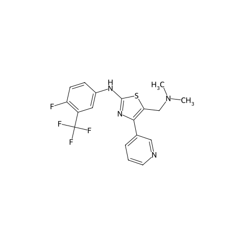 CN(C)Cc1sc(Nc2ccc(F)c(C(F)(F)F)c2)nc1-c1cccnc1